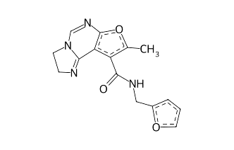 Cc1oc2c(c1C(=O)NCc1ccco1)C1=NCCN1C=N2